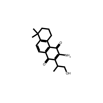 CC(CO)C1=C(N)C(=O)c2c(ccc3c2CCCC3(C)C)C1=O